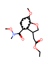 CCOC(=O)CC1COc2c(OC)ccc(C(=O)N(C)OC)c21